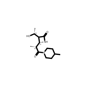 CC1CCN(C(=O)[C@H](C)[C@H]2NC(=O)C2[C@@H](C)O)CC1